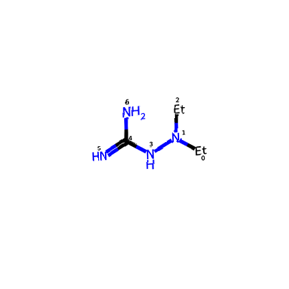 CCN(CC)NC(=N)N